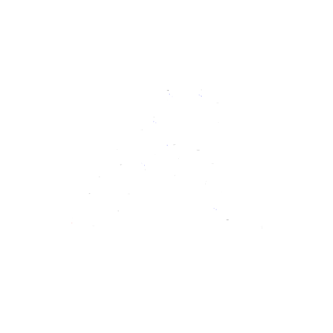 CC(C)(C)OC(=O)NCc1ccc(-n2c(-c3cccnc3N)nc3ccc(-c4ccc(CO)cc4)nc32)cc1